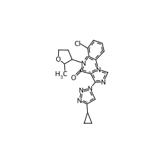 CC1OCCC1n1c(=O)c2c(-n3cc(C4CC4)nn3)ncn2c2cccc(Cl)c21